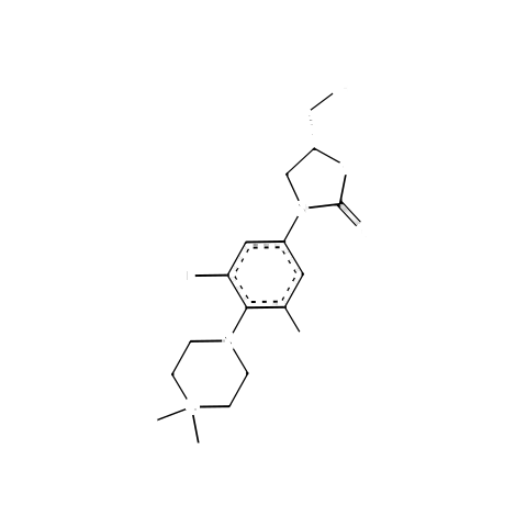 C[Si]1(C)CCN(c2c(F)cc(N3C[C@H](CO)OC3=O)cc2F)CC1